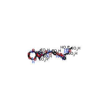 O=C(O)CC[C@H](NC(=O)N[C@@H](CCCCNC(=O)[C@H](Cc1ccccc1)NC(=O)COc1ccc(C[C@H](NC(=O)CNC(=O)CCC(C(=O)O)N2CCN(CC(=O)O)CCN(C3(C(=O)O)CCC(=O)NCCOCCOCCNC(=O)CCC3c3ccc(I)cc3)CCN(CC(=O)O)CC2)C(=O)O)cc1)C(=O)O)C(=O)O